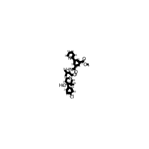 COC(=O)c1cc(C(=O)N[C@@H](C(=O)N2CC[C@](O)(c3ccc(Cl)cc3)C(C)(C)C2)C(C)C)cc(-c2ccccn2)c1